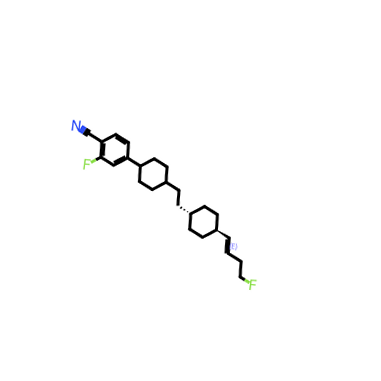 N#Cc1ccc(C2CCC(CC[C@H]3CC[C@H](/C=C/CCF)CC3)CC2)cc1F